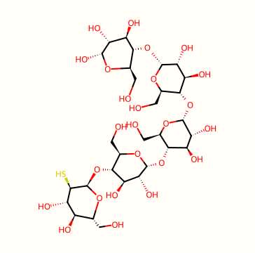 OC[C@H]1O[C@H](O[C@H]2[C@H](O)[C@@H](O)[C@@H](O[C@H]3[C@H](O)[C@@H](O)[C@@H](O[C@H]4[C@H](O)[C@@H](O)[C@@H](O[C@H]5[C@H](O)[C@@H](O)[C@@H](O)O[C@@H]5CO)O[C@@H]4CO)O[C@@H]3CO)O[C@@H]2CO)[C@H](S)[C@@H](O)[C@@H]1O